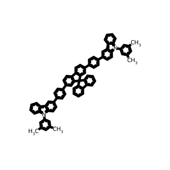 Cc1cc(C)cc(-n2c3ccccc3c3cc(-c4ccc(-c5ccc6c(c5)C5(c7ccccc7-c7ccccc75)c5cc(-c7ccc(-c8ccc9c(c8)c8ccccc8n9-c8cc(C)cc(C)c8)cc7)ccc5-6)cc4)ccc32)c1